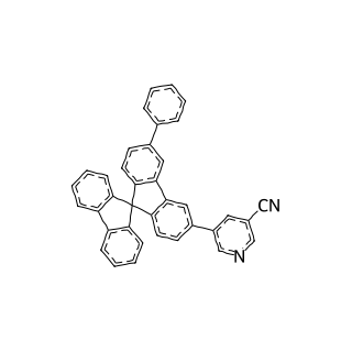 N#Cc1cncc(-c2ccc3c(c2)-c2cc(-c4ccccc4)ccc2C32c3ccccc3-c3ccccc32)c1